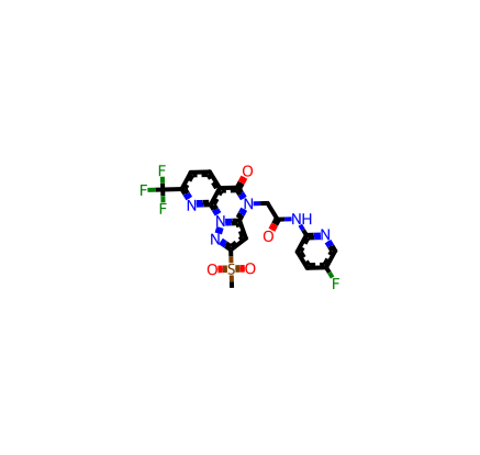 CS(=O)(=O)c1cc2n(CC(=O)Nc3ccc(F)cn3)c(=O)c3ccc(C(F)(F)F)nc3n2n1